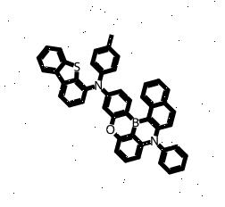 Cc1ccc(N(c2ccc3c(c2)Oc2cccc4c2B3c2c(ccc3ccccc23)N4c2ccccc2)c2cccc3c2sc2ccccc23)cc1